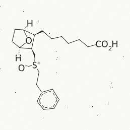 O=C(O)CCCCCC[C@H]1[C@@H](C[S+]([O-])CCc2ccccc2)[C@H]2CC[C@@H]1O2